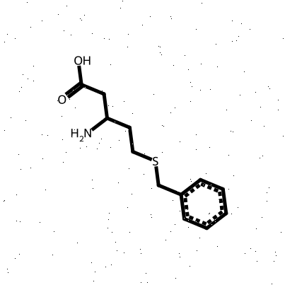 NC(CCSCc1ccccc1)CC(=O)O